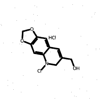 Cl.OCC1=Cc2cc3c(cc2N(Cl)C1)OCO3